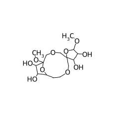 COC1OC2(COCCC3OC(OC)(COC2)C(O)C3O)C(O)C1O